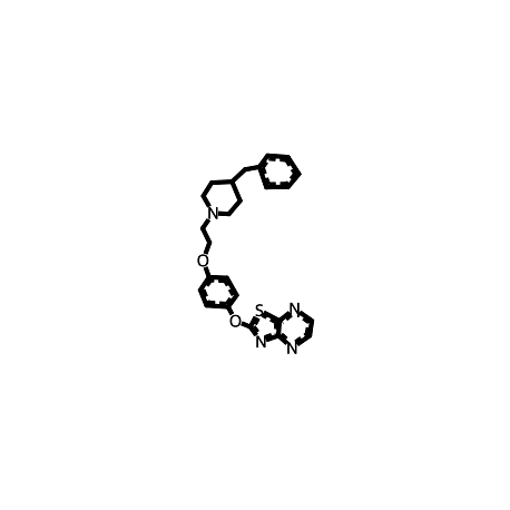 c1ccc(CC2CCN(CCOc3ccc(Oc4nc5nccnc5s4)cc3)CC2)cc1